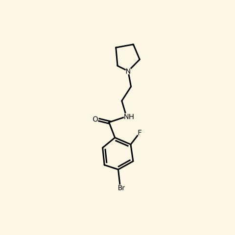 O=C(NCCN1CCCC1)c1ccc(Br)cc1F